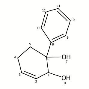 OC1C=CCCC1(O)c1ccccc1